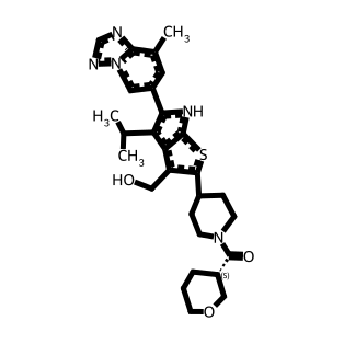 Cc1cc(-c2[nH]c3sc(C4CCN(C(=O)[C@H]5CCCOC5)CC4)c(CO)c3c2C(C)C)cn2ncnc12